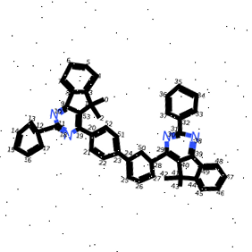 CC1(C)c2ccccc2-c2nc(-c3ccccc3)nc(-c3ccc(C4=CC=CC(c5nc(-c6ccccc6)nc6c5C(C)(C)c5ccccc5-6)C4)cc3)c21